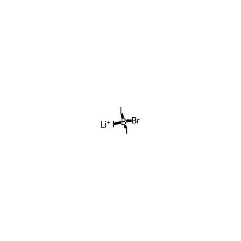 Br[B-](I)(I)I.[Li+]